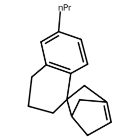 CCCc1ccc2c(c1)CCCC21CC2=CCC1C2